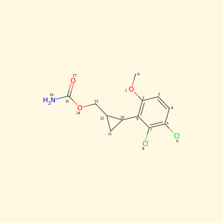 COc1ccc(Cl)c(Cl)c1C1CC1COC(N)=O